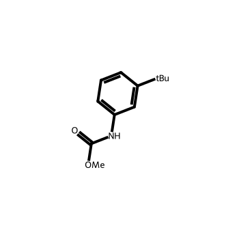 COC(=O)Nc1cccc(C(C)(C)C)c1